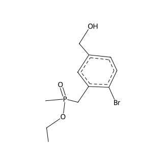 CCOP(C)(=O)Cc1cc(CO)ccc1Br